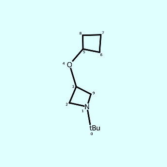 CC(C)(C)N1CC(OC2CCC2)C1